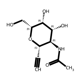 C#C[C@@H]1O[C@H](CO)[C@H](O)[C@H](O)[C@H]1NC(C)=O